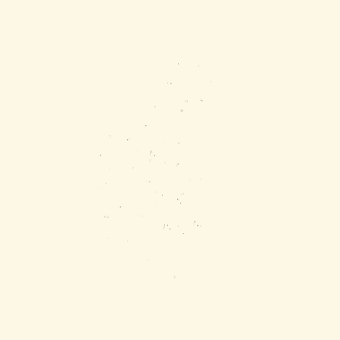 CC1(c2ccccc2)N=C(c2ccccc2)N=C(c2cc3c(oc4cccc(N(c5ccccc5)C5C=CC(c6ccccc6)=CC5)c43)c3ccccc23)N1